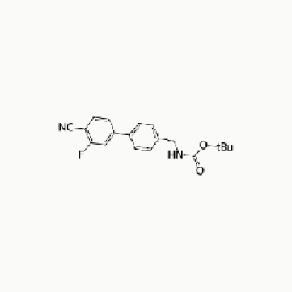 CC(C)(C)OC(=O)NCc1ccc(-c2ccc(C#N)c(F)c2)cc1